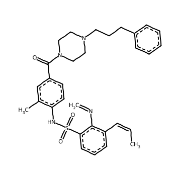 C=Nc1c(/C=C\C)cccc1S(=O)(=O)Nc1ccc(C(=O)N2CCN(CCCc3ccccc3)CC2)cc1C